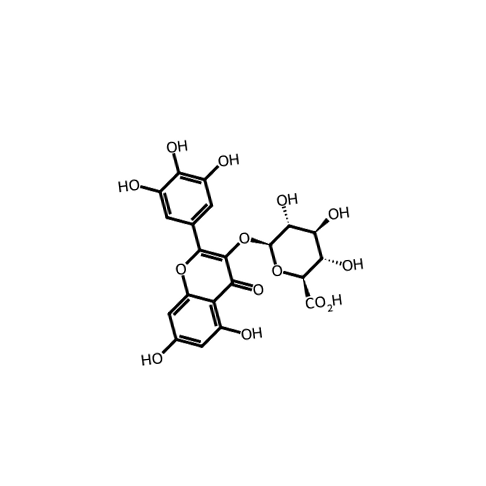 O=C(O)[C@H]1O[C@@H](Oc2c(-c3cc(O)c(O)c(O)c3)oc3cc(O)cc(O)c3c2=O)[C@H](O)[C@@H](O)[C@@H]1O